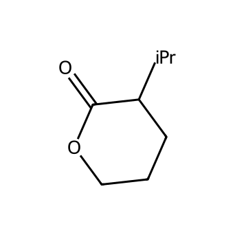 CC(C)C1CCCOC1=O